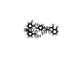 COc1cc(NCc2c(F)ccc([N+](=O)[O-])c2Oc2ccccc2C(=O)O)ccc1NC(=O)COC1CCCC(C)C1C(C)C